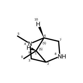 C[C@H]1C2CN(C)[C@@H]1CN2